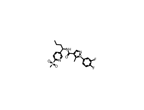 CCCC(NC(=O)c1cnn(-c2ccc(F)c(F)c2)c1C)c1ccc(S(C)(=O)=O)nc1